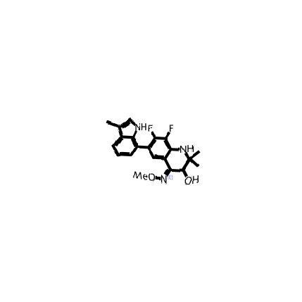 CO/N=C1\c2cc(-c3cccc4c(C)c[nH]c34)c(F)c(F)c2NC(C)(C)C1O